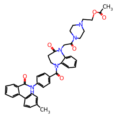 CC(=O)OCCN1CCN(C(=O)CN2C(=O)CCN(C(=O)c3ccc(NC(=O)c4ccccc4-c4ccc(C)cc4)cc3)c3ccccc32)CC1